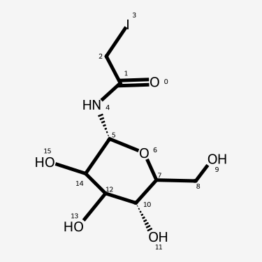 O=C(CI)N[C@@H]1OC(CO)[C@H](O)C(O)C1O